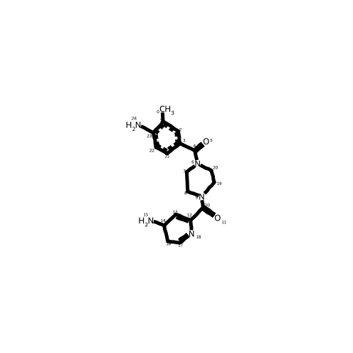 Cc1cc(C(=O)N2CCN(C(=O)C3=CC(N)CC=N3)CC2)ccc1N